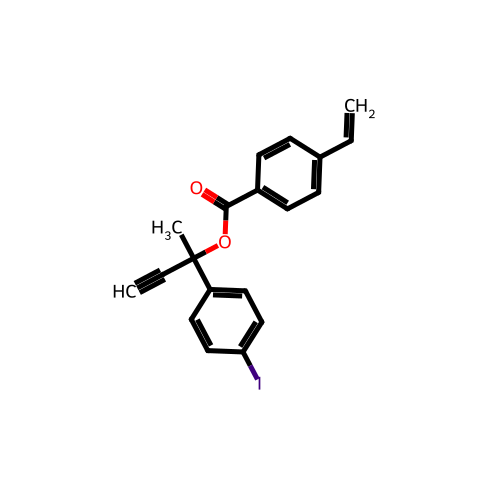 C#CC(C)(OC(=O)c1ccc(C=C)cc1)c1ccc(I)cc1